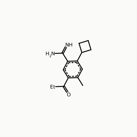 CCC(=O)c1cc(C(=N)N)c(C2CCC2)cc1C